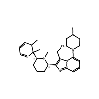 CC1C=CC=NC1(C)[C@@H]1CCC[C@H](c2nc3cccc(N4CCN(C)CC4)n3c2CO)N1C